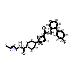 C/C=C/CNC(=S)N1CCC(c2nc(C(=O)Nc3ccccc3-c3ccc(F)cc3)cs2)CC1